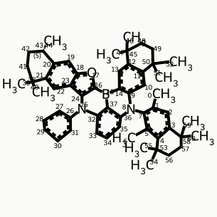 Cc1cc2c(c(C)c1N1c3cc4c(cc3B3c5oc6cc7c(cc6c5N(c5ccccc5)c5cccc1c53)C(C)(C)CC[C@@H]7C)C(C)(C)CCC4(C)C)C(C)(C)CCC2(C)C